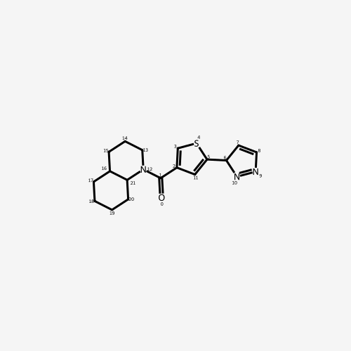 O=C(c1csc(C2C=CN=N2)c1)N1CCCC2CCCCC21